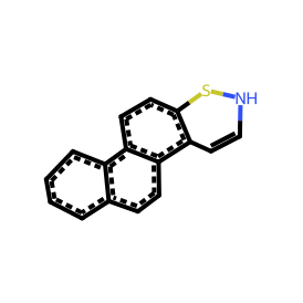 C1=Cc2c(ccc3c2ccc2ccccc23)SN1